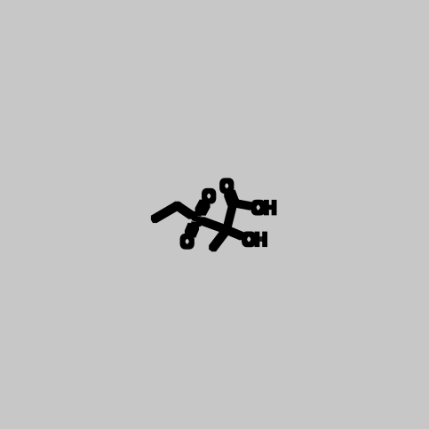 CCS(=O)(=O)C(C)(O)C(=O)O